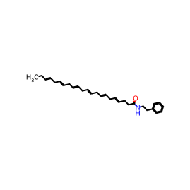 CCC=CCC=CCC=CCC=CCC=CCC=CCCC(=O)NCCc1ccccc1